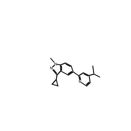 CC(C)c1ccnc(-c2ccc3c(c2)c(C2CC2)nn3C)c1